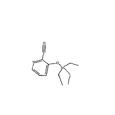 CC[Si](CC)(CC)Oc1cccnc1C#N